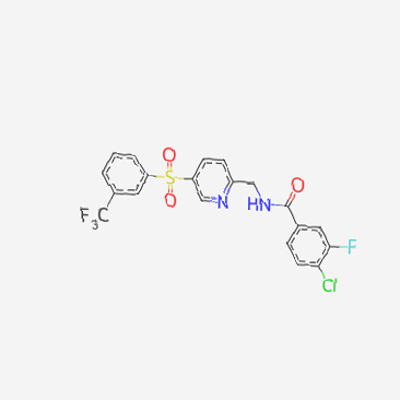 O=C(NCc1ccc(S(=O)(=O)c2cccc(C(F)(F)F)c2)cn1)c1ccc(Cl)c(F)c1